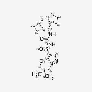 CC1(C)COc2c([S+]([O-])NC(=O)Nc3c4c(cc5c3CC5)CCC4)cnn2C1